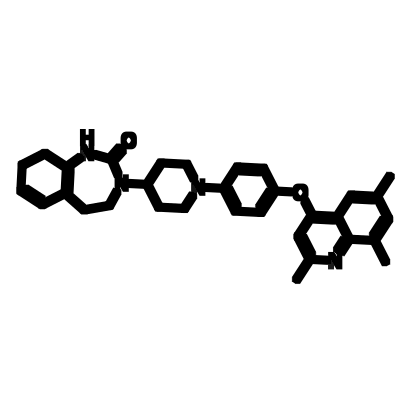 Cc1cc(C)c2nc(C)cc(Oc3ccc(N4CCC(N5CCC6=C(CCC=C6)NC5=O)CC4)cc3)c2c1